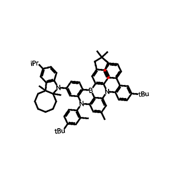 Cc1cc2c3c(c1)N(c1ccc(C(C)(C)C)cc1-c1ccccc1)c1cc4c(cc1B3c1ccc(N3c5ccc(C(C)C)cc5C5(C)CCCCCCC35C)cc1N2c1ccc(C(C)(C)C)cc1C)CC(C)(C)C4